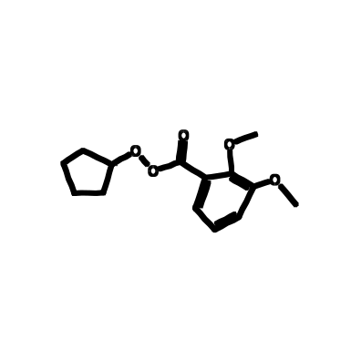 COc1cccc(C(=O)OO[C]2CCCC2)c1OC